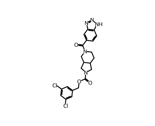 O=C(OCc1cc(Cl)cc(Cl)c1)N1CC2CCN(C(=O)c3ccc4[nH]nnc4c3)CC2C1